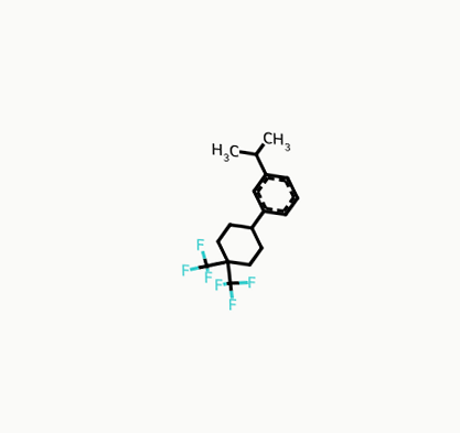 CC(C)c1cccc(C2CCC(C(F)(F)F)(C(F)(F)F)CC2)c1